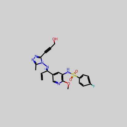 C=C/C(=N\n1c(C)nnc1C#CCO)c1cnc(OC)c(NS(=O)(=O)c2ccc(F)cc2)c1